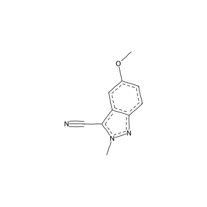 COc1ccc2nn(C)c(C#N)c2c1